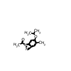 CC(=O)n1ncc2cc(C)c(OC(C)C)cc21